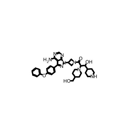 Nc1ncnc2c1c(-c1ccc(Oc3ccccc3)cc1)nn2C1CN(C(=O)C(C(O)C2CCNCC2)N2CCC(CO)CC2)C1